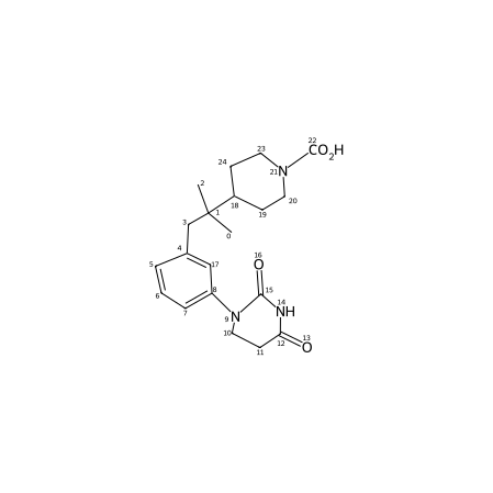 CC(C)(Cc1cccc(N2CCC(=O)NC2=O)c1)C1CCN(C(=O)O)CC1